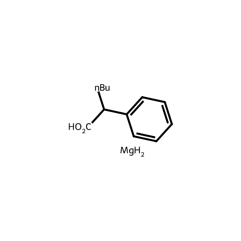 CCCCC(C(=O)O)c1ccccc1.[MgH2]